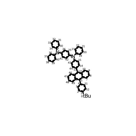 CC(C)(C)c1ccc(-c2c3ccccc3c(-c3ccc(N(c4ccccc4)c4ccc(N(c5ccccc5)c5ccccc5)cc4)cc3)c3ccccc23)cc1